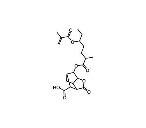 C=C(C)C(=O)OC(CC)CCC(C)C(=O)OC1C2CC3C1OC(=O)C3C2C(=O)O